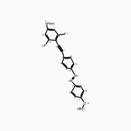 CCCCCc1cc(F)c(C#Cc2ccc(N=Nc3ccc(OCCCC)cc3)cc2)c(F)c1